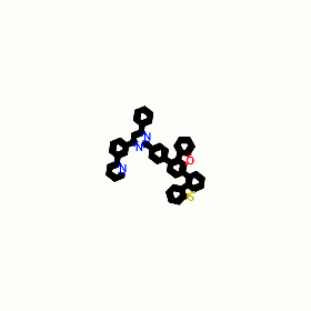 c1ccc(-c2cc(-c3cccc(-c4ccccn4)c3)nc(-c3ccc(-c4ccc(-c5cccc6sc7ccccc7c56)c5oc6ccccc6c45)cc3)n2)cc1